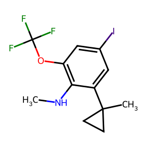 CNc1c(OC(F)(F)F)cc(I)cc1C1(C)CC1